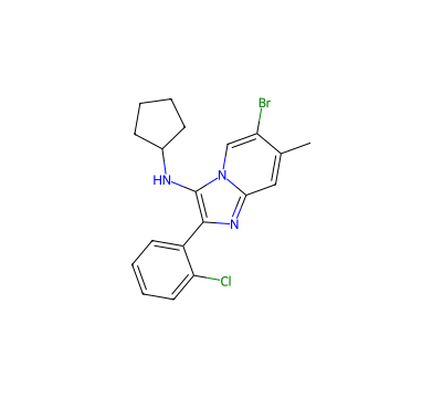 Cc1cc2nc(-c3ccccc3Cl)c(NC3CCCC3)n2cc1Br